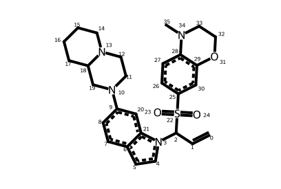 C=CC(n1ccc2ccc(N3CCN4CCCCC4C3)cc21)S(=O)(=O)c1ccc2c(c1)OCCN2C